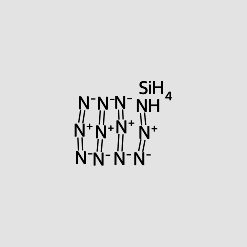 [N-]=[N+]=N.[N-]=[N+]=[N-].[N-]=[N+]=[N-].[N-]=[N+]=[N-].[SiH4]